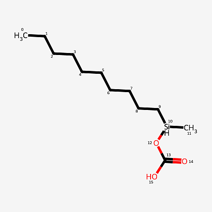 CCCCCCCCCC[SiH](C)OC(=O)O